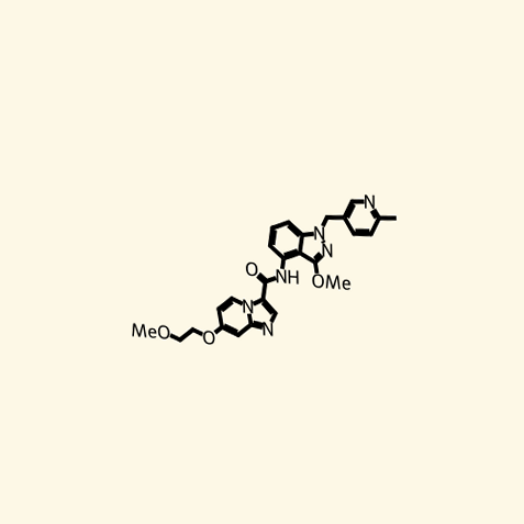 COCCOc1ccn2c(C(=O)Nc3cccc4c3c(OC)nn4Cc3ccc(C)nc3)cnc2c1